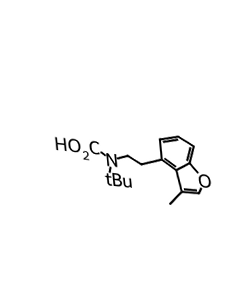 Cc1coc2cccc(CCN(C(=O)O)C(C)(C)C)c12